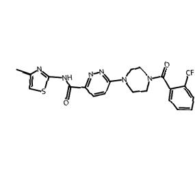 Cc1csc(NC(=O)c2ccc(N3CCN(C(=O)c4ccccc4C(F)(F)F)CC3)nn2)n1